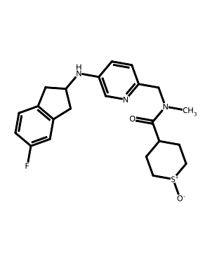 CN(Cc1ccc(NC2Cc3ccc(F)cc3C2)cn1)C(=O)C1CC[S+]([O-])CC1